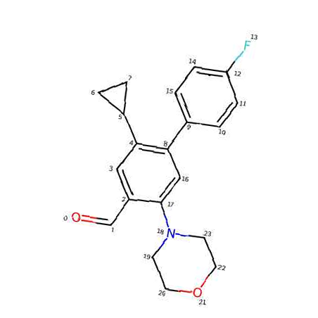 O=Cc1cc(C2CC2)c(-c2ccc(F)cc2)cc1N1CCOCC1